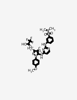 COc1ccc(-n2nc(C)c(C)c2Nc2ccnc(Nc3cccc(S(=O)(=O)N(C)C)c3)n2)cc1.O=C(O)C(F)(F)F